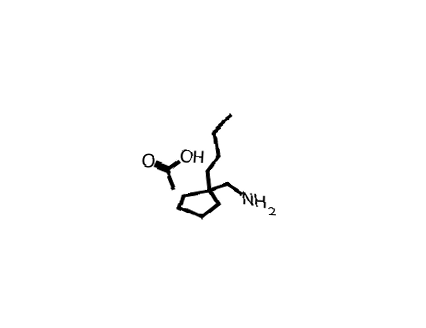 CC(=O)O.CCCCC1(CN)CCCC1